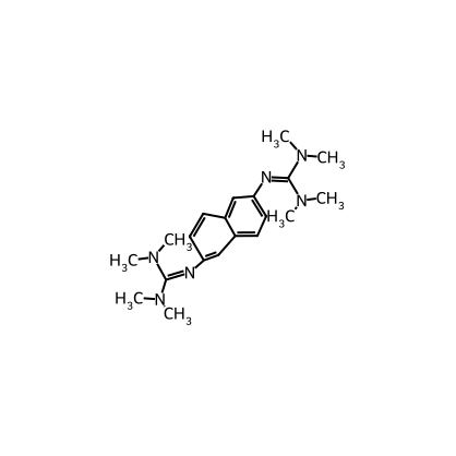 CN(C)C(=Nc1ccc2cc(N=C(N(C)C)N(C)C)ccc2c1)N(C)C